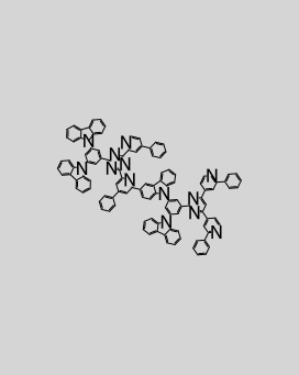 c1ccc(-c2ccnc(-c3nc(-c4cc(-n5c6ccccc6c6ccccc65)cc(-n5c6ccccc6c6ccccc65)c4)nc(-c4cc(-c5ccccc5)cc(-c5ccc6c(c5)c5ccccc5n6-c5cc(-c6nc(-c7ccnc(-c8ccccc8)c7)cc(-c7ccnc(-c8ccccc8)c7)n6)cc(-n6c7ccccc7c7ccccc76)c5)n4)n3)c2)cc1